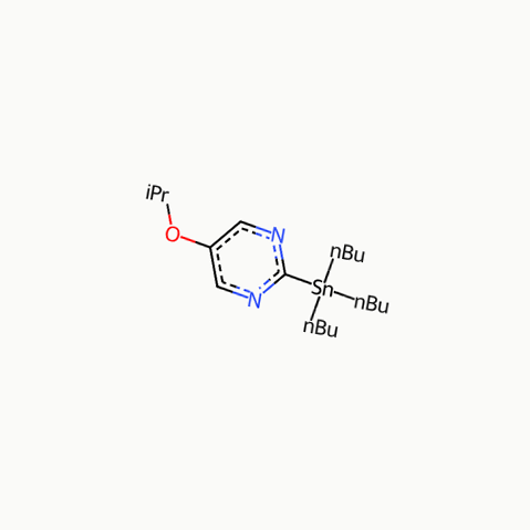 CCC[CH2][Sn]([CH2]CCC)([CH2]CCC)[c]1ncc(OC(C)C)cn1